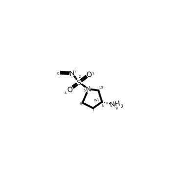 C=NS(=O)(=O)N1CC[C@@H](N)C1